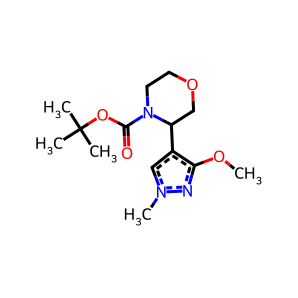 COc1nn(C)cc1C1COCCN1C(=O)OC(C)(C)C